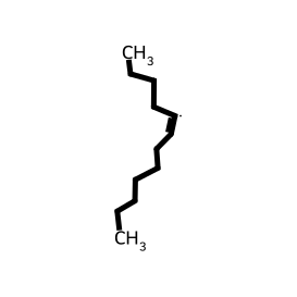 CCCC/[C]=C\CCCCCC